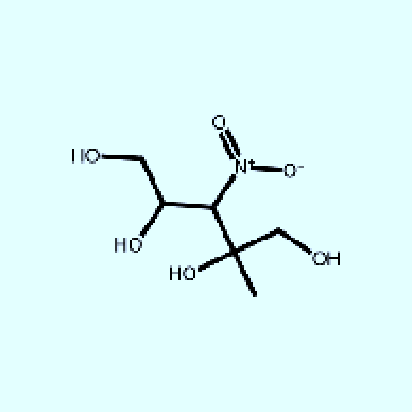 CC(O)(CO)C(C(O)CO)[N+](=O)[O-]